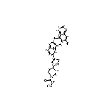 CC(C)(C)OC(=O)N1CCC(n2cc(-c3ccc4ncc(Cc5c(F)cc6ncccc6c5F)n4n3)cn2)CC1